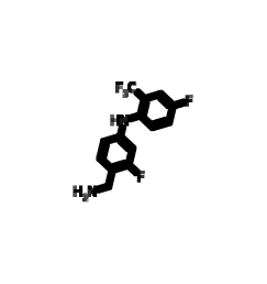 NCc1ccc(Nc2ccc(F)cc2C(F)(F)F)cc1F